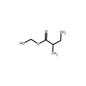 CCC(C)C(=O)OCO